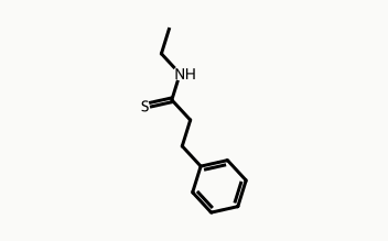 CCNC(=S)CCc1ccccc1